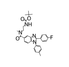 Cc1ccc(-n2c(-c3ccc(F)cc3)nc3cc(C(=O)N(C)CCNC(=O)OC(C)(C)C)ccc32)cc1